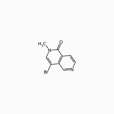 Cn1cc(Br)c2cnccc2c1=O